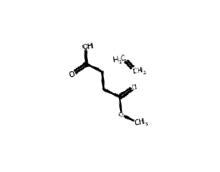 C=C.COC(=O)CCC(=O)O